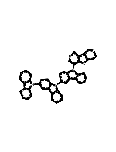 c1ccc2c(c1)c1ccccc1n2-c1ccc2c(c1)c1ccccc1n2-c1ccc2c(c1)c1ccccc1n2-c1cncc2c1sc1ccncc12